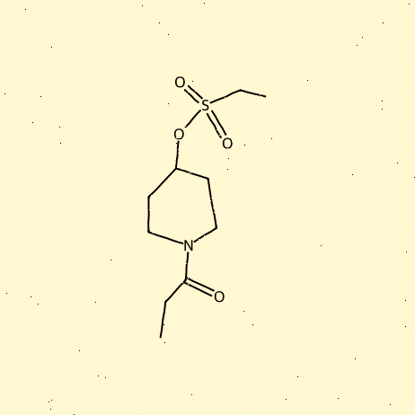 CCC(=O)N1CCC(OS(=O)(=O)CC)CC1